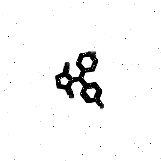 O=C1CCC(=O)N1C(c1ccc(F)cc1)C1CCNCC1